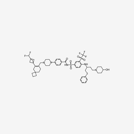 O=C(NS(=O)(=O)c1ccc(NC(CCN2CCC(O)CC2)CSc2ccccc2)c(S(=O)(=O)C(F)(F)F)c1)c1ccc(N2CCN(CC3=C(C45CC(C(F)F)(C4)C5)CC4(CCC4)CC3)CC2)cc1